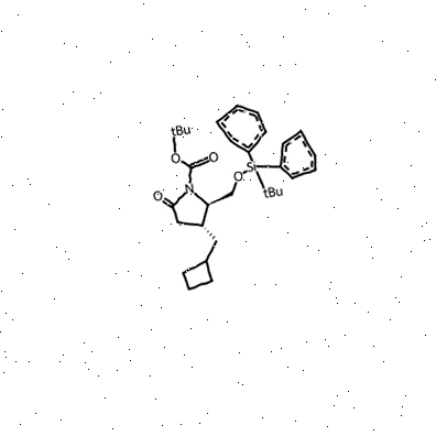 CC(C)(C)OC(=O)N1C(=O)C[C@@H](CC2CCC2)[C@@H]1CO[Si](c1ccccc1)(c1ccccc1)C(C)(C)C